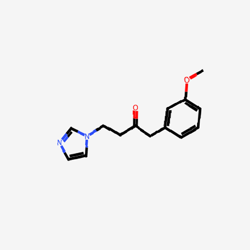 COc1cccc(CC(=O)CCn2ccnc2)c1